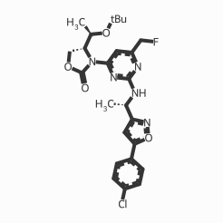 C[C@H](Nc1nc(CF)cc(N2C(=O)OC[C@@H]2[C@@H](C)OC(C)(C)C)n1)c1cc(-c2ccc(Cl)cc2)on1